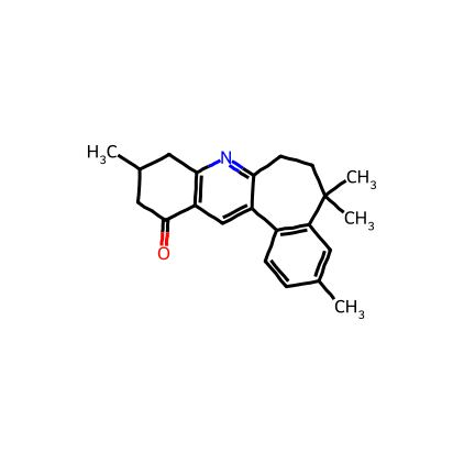 Cc1ccc2c(c1)C(C)(C)CCc1nc3c(cc1-2)C(=O)CC(C)C3